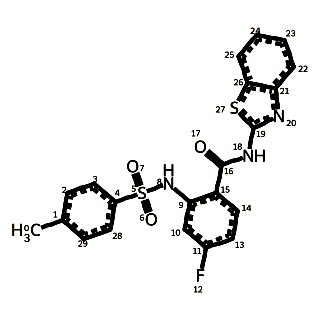 Cc1ccc(S(=O)(=O)Nc2cc(F)ccc2C(=O)Nc2nc3ccccc3s2)cc1